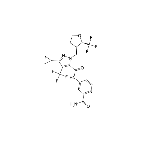 NC(=O)c1cc(NC(=O)c2c(C(F)(F)F)c(C3CC3)nn2C[C@H]2CCO[C@H]2C(F)(F)F)ccn1